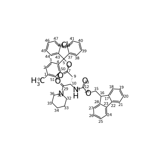 Cc1ccc(C(OC(=O)C[C@H](NC(=O)OCC2c3ccccc3-c3ccccc32)C(=O)N2CCCCC2)(c2ccccc2)c2ccccc2Cl)cc1